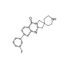 O=c1c2ccc(-c3cccc(F)c3)cc2nc2n1CC1(CCNCC1)C2